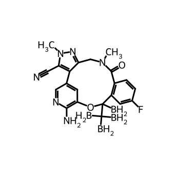 BC(B)(B)C1(B)Oc2cc(cnc2N)-c2c(nn(C)c2C#N)CN(C)C(=O)c2ccc(F)cc21